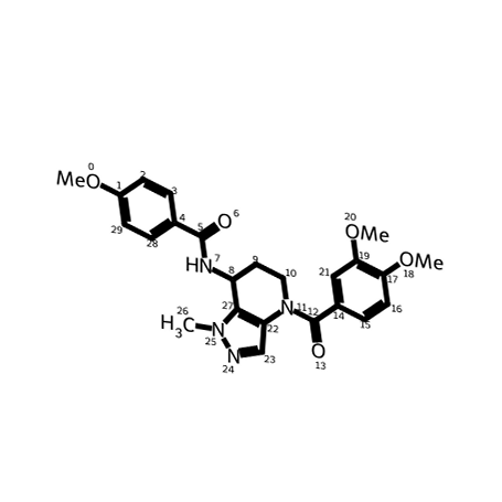 COc1ccc(C(=O)NC2CCN(C(=O)c3ccc(OC)c(OC)c3)c3cnn(C)c32)cc1